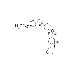 CCCC1CCC(C(F)(F)OC2CCC(C(F)(F)Oc3ccc(OCC)cc3)CC2)CC1(F)F